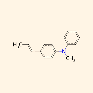 C/C=C/c1ccc(N(C)c2ccccc2)cc1